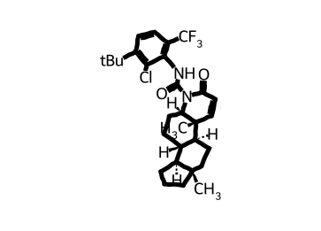 CC(C)(C)c1ccc(C(F)(F)F)c(NC(=O)N2C(=O)C=C[C@]3(C)[C@H]4CC[C@]5(C)CCC[C@H]5[C@@H]4CC[C@@H]23)c1Cl